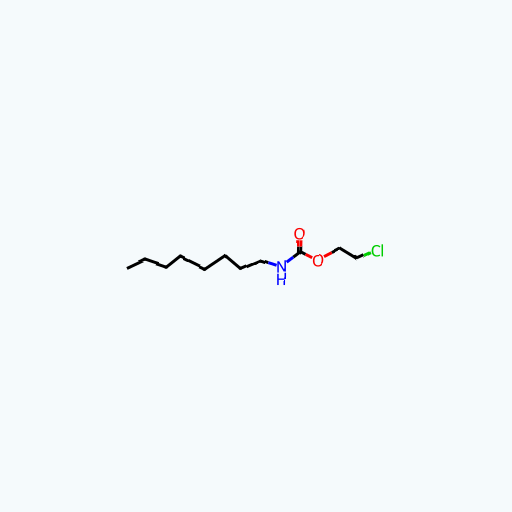 CCCCCCCCNC(=O)OCCCl